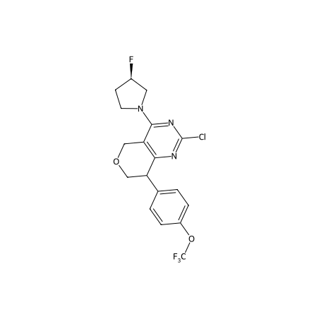 F[C@@H]1CCN(c2nc(Cl)nc3c2COCC3c2ccc(OC(F)(F)F)cc2)C1